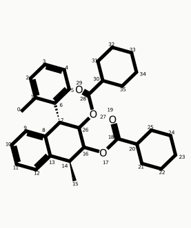 Cc1ccccc1[C@H]1c2ccccc2[C@H](C)C(OC(=O)C2CCCCC2)C1OC(=O)C1CCCCC1